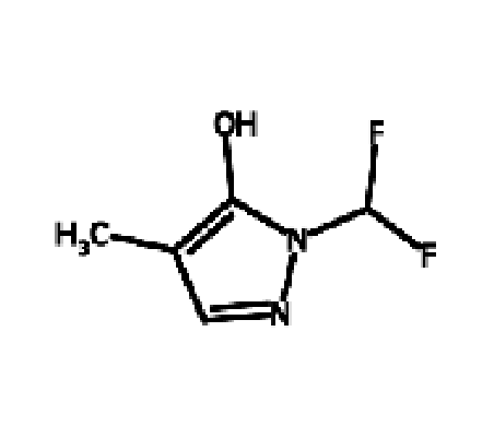 Cc1cnn(C(F)F)c1O